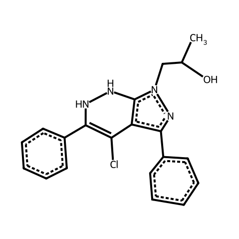 CC(O)Cn1nc(-c2ccccc2)c2c1NNC(c1ccccc1)=C2Cl